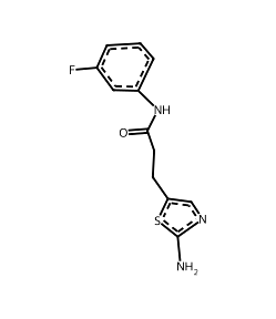 Nc1ncc(CCC(=O)Nc2cccc(F)c2)s1